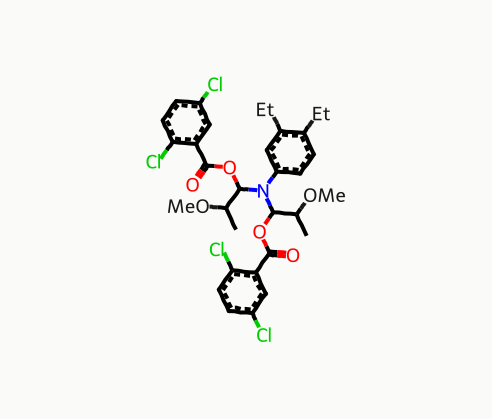 CCc1ccc(N(C(OC(=O)c2cc(Cl)ccc2Cl)C(C)OC)C(OC(=O)c2cc(Cl)ccc2Cl)C(C)OC)cc1CC